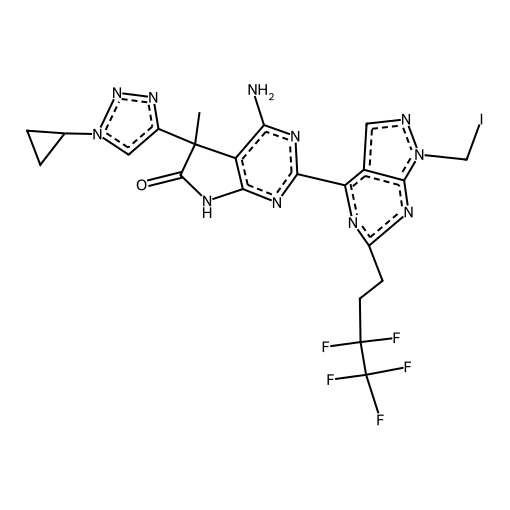 CC1(c2cn(C3CC3)nn2)C(=O)Nc2nc(-c3nc(CCC(F)(F)C(F)(F)F)nc4c3cnn4CI)nc(N)c21